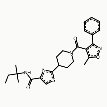 CCC(C)(C)NC(=O)c1csc(C2CCN(C(=O)c3c(-c4ccccc4)noc3C)CC2)n1